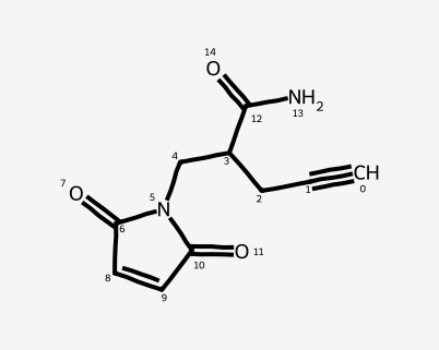 C#CCC(CN1C(=O)C=CC1=O)C(N)=O